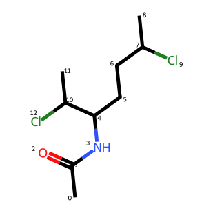 CC(=O)NC(CCC(C)Cl)C(C)Cl